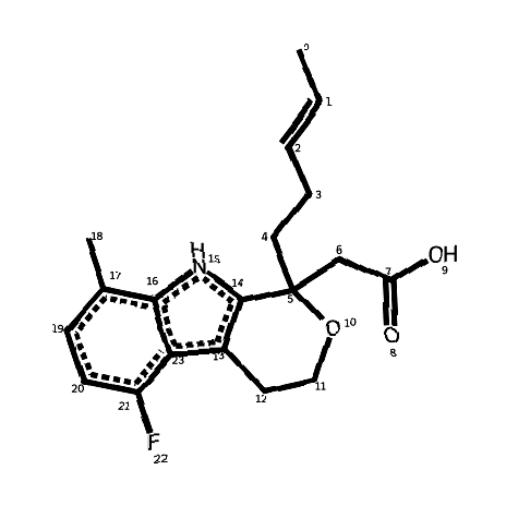 CC=CCCC1(CC(=O)O)OCCc2c1[nH]c1c(C)ccc(F)c21